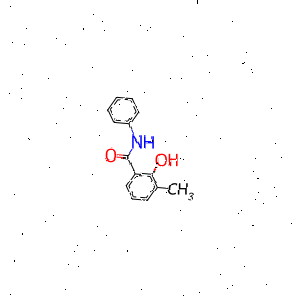 Cc1cccc(C(=O)Nc2ccccc2)c1O